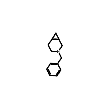 c1ccc(CN2CCC3CC3C2)cc1